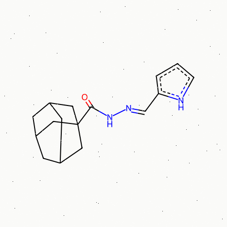 O=C(NN=Cc1ccc[nH]1)C12CC3CC(CC(C3)C1)C2